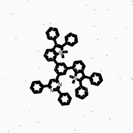 C[Si]1(C)C(c2ccccc2)=C(c2ccccc2)c2cccc(-c3cc(-c4cc(-c5ccccc5)nc(-c5ccccc5)n4)cc(-c4cccc5c4[Si](C)(C)C(c4ccccc4)=C5c4ccccc4)c3)c21